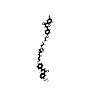 Cc1ccc2oc(-c3ccc(OCCCCc4cn(CCOCCOc5ccc(-c6cc(=O)c7cc(F)ccc7o6)cc5)nn4)cc3)cc(=O)c2c1